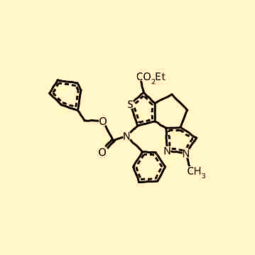 CCOC(=O)c1sc(N(C(=O)OCc2ccccc2)c2ccccc2)c2c1CCc1cn(C)nc1-2